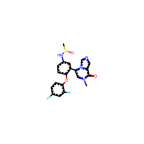 Cn1cc(-c2cc(N[S+](C)[O-])ccc2Oc2ccc(F)cc2F)n2cncc2c1=O